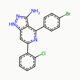 Nc1n[nH]c2cc(-c3ccccc3Cl)nc(-c3ccc(Br)cc3)c12